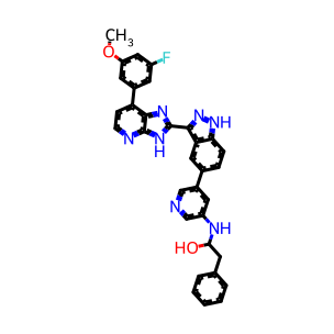 COc1cc(F)cc(-c2ccnc3[nH]c(-c4n[nH]c5ccc(-c6cncc(NC(O)Cc7ccccc7)c6)cc45)nc23)c1